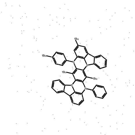 CC(C)(C)c1ccc(N2c3cc(C(C)(C)C)cc4c3B(c3ccccc3-4)c3c2c(C(C)(C)C)c2c(c3C(C)(C)C)N(c3ccccc3)c3cccc4c3B2c2ccccc2-4)cc1